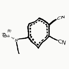 CC[C@@H](C)N(C)c1ccc(C#N)c(C#N)c1